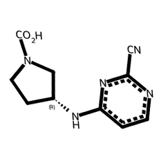 N#Cc1nccc(N[C@@H]2CCN(C(=O)O)C2)n1